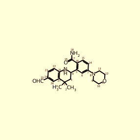 CC1(C)CC(c2cc(N3CCOCC3)ccc2C(N)=O)Nc2ccc([C]=O)cc21